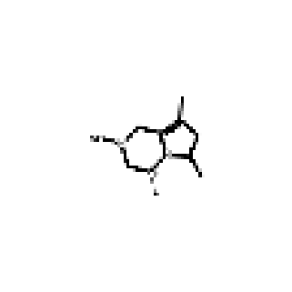 CC(=O)N1CC2=C(C)CC(C)N2[C@H](C)C1